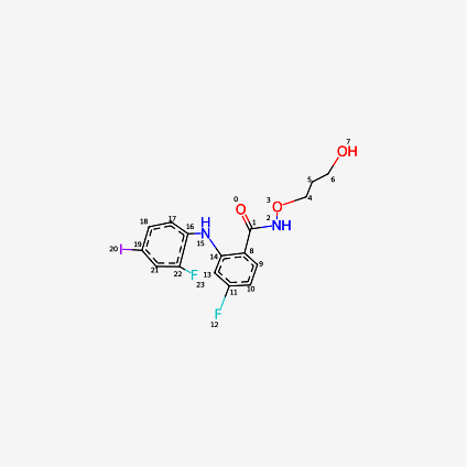 O=C(NOCCCO)c1ccc(F)cc1Nc1ccc(I)cc1F